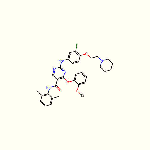 CCOc1ccccc1Oc1nc(Nc2ccc(OCCN3CCCCC3)c(F)c2)ncc1C(=O)Nc1c(C)cccc1C